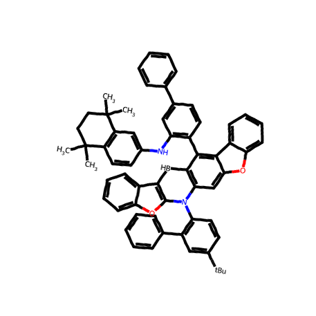 CC(C)(C)c1ccc(N2c3cc4oc5ccccc5c4c(-c4ccc(-c5ccccc5)cc4Nc4ccc5c(c4)C(C)(C)CCC5(C)C)c3Bc3c2oc2ccccc32)c(-c2ccccc2)c1